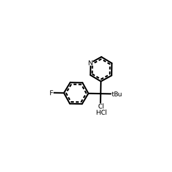 CC(C)(C)C(Cl)(c1ccc(F)cc1)c1cccnc1.Cl